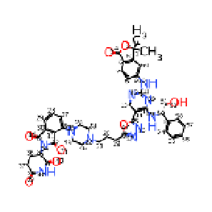 CC1(C)OC(=O)c2ccc(Nc3ncc(-c4nnc(CCCN5CCN(c6cccc7c6C(=O)N(C6CCC(=O)NC6=O)C7=O)CC5)o4)c(N[C@H](CO)c4ccccc4)n3)cc21